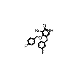 O=c1[nH]cc(Cc2cccc(F)c2)c(OCc2ccc(F)cc2)c1Br